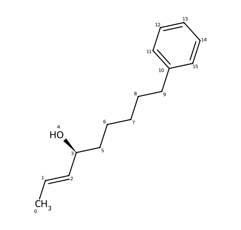 C/C=C/[C@@H](O)CCCCCc1ccccc1